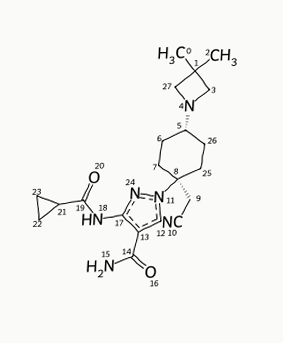 CC1(C)CN([C@H]2CC[C@](CC#N)(n3cc(C(N)=O)c(NC(=O)C4CC4)n3)CC2)C1